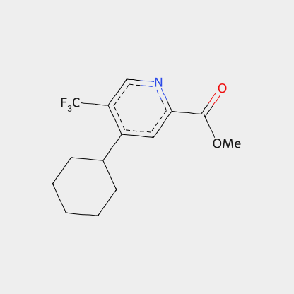 COC(=O)c1cc(C2CCCCC2)c(C(F)(F)F)cn1